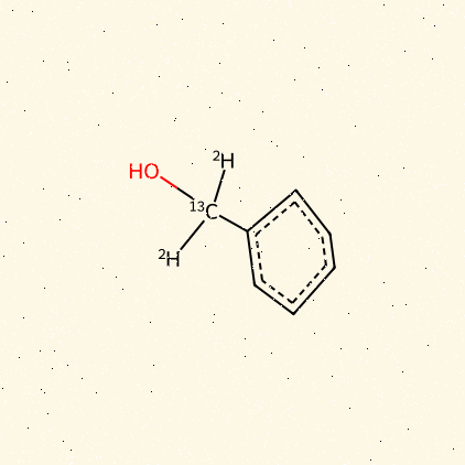 [2H][13C]([2H])(O)c1ccccc1